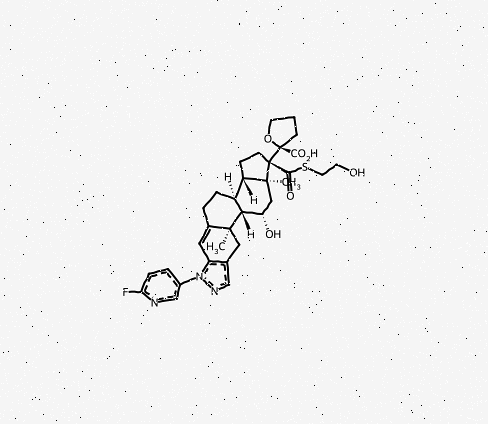 C[C@]12Cc3cnn(-c4ccc(F)nc4)c3C=C1CC[C@@H]1[C@@H]2[C@@H](O)C[C@@]2(C)[C@H]1CC[C@]2(C(=O)SCCO)[C@@]1(C(=O)O)CCCO1